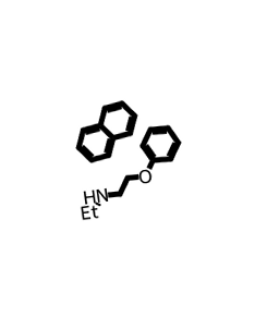 CCNCCOc1ccccc1.c1ccc2ccccc2c1